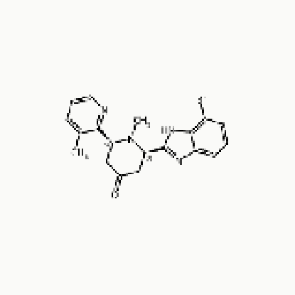 Cc1cccnc1[C@@H]1CC(=O)C[C@H](c2nc3cccc(Br)c3[nH]2)N1C